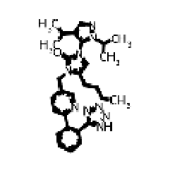 CCCCc1cn(-c2c(C(C)C)cnn2C(C)C)c(=O)n1Cc1ccc(-c2ccccc2-c2nnn[nH]2)nc1